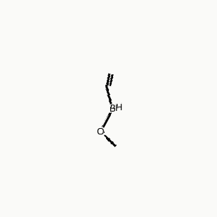 C=CBOC